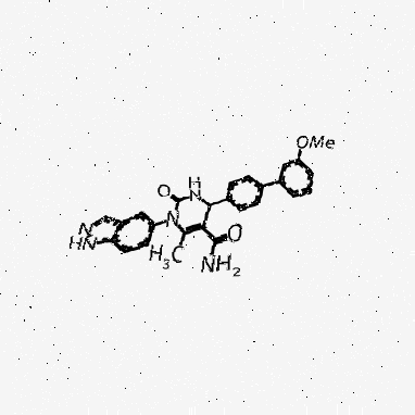 COc1cccc(-c2ccc(C3NC(=O)N(c4ccc5[nH]ncc5c4)C(C)=C3C(N)=O)cc2)c1